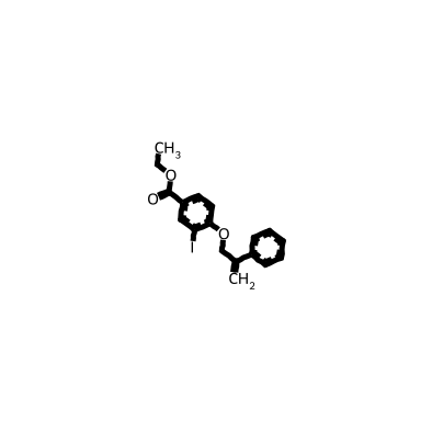 C=C(COc1ccc(C(=O)OCC)cc1I)c1ccccc1